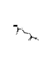 C=CC(=O)OCCC(=O)C(C)(C)C